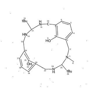 CN1Cc2cccc(c2O)CNC(C(C)(C)C)NCc2cccc(c2O)CNC1C(C)(C)C